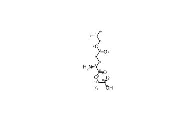 CC(C)COC(=O)CC[C@H](N)C(=O)O[C@@H](C)C(=O)O